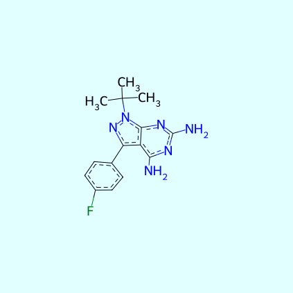 CC(C)(C)n1nc(-c2ccc(F)cc2)c2c(N)nc(N)nc21